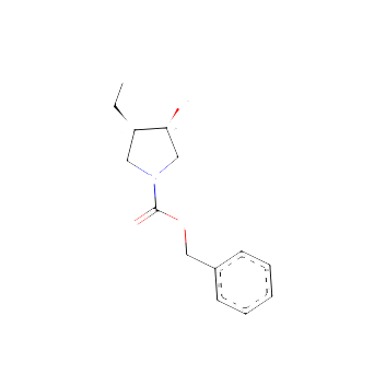 CC[C@@H]1CN(C(=O)OCc2ccccc2)C[C@@H]1O